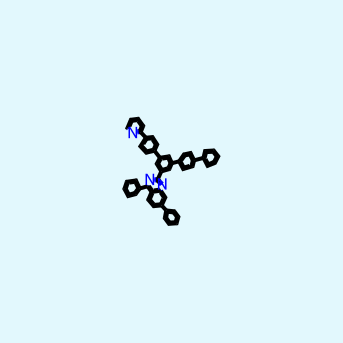 c1ccc(-c2ccc(-c3cc(-c4ccc(-c5ccccn5)cc4)cc(-c4nc(-c5ccccc5)c5ccc(-c6ccccc6)cc5n4)c3)cc2)cc1